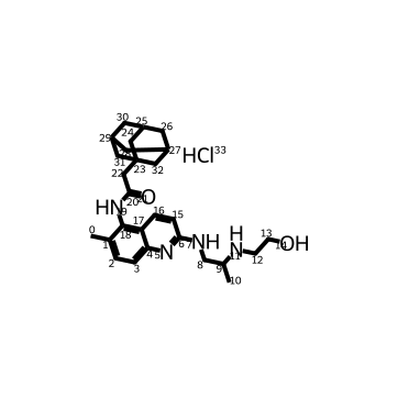 Cc1ccc2nc(NCC(C)NCCO)ccc2c1NC(=O)CC12CC3CC(CC(C3)C1)C2.Cl